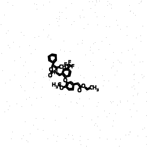 CCOC(=O)Cc1ccc(OC)c(Oc2ccc(C(F)(F)F)cc2CN2C(=O)OC(c3ccccc3)C2C)c1